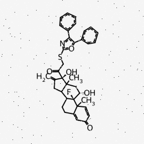 C=C1CC2C3CCC4=CC(=O)C=CC4(C)[C@@]3(F)[C@@H](O)CC2(C)[C@@]1(O)C(=O)CSc1nc(-c2ccccc2)c(-c2ccccc2)o1